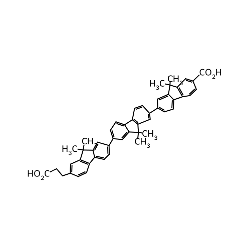 CC1(C)c2cc(CCC(=O)O)ccc2-c2ccc(-c3ccc4c(c3)C(C)(C)c3cc(-c5ccc6c(c5)C(C)(C)c5cc(C(=O)O)ccc5-6)ccc3-4)cc21